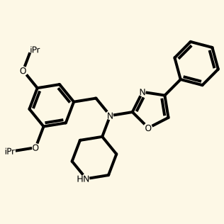 CC(C)Oc1cc(CN(c2nc(-c3ccccc3)co2)C2CCNCC2)cc(OC(C)C)c1